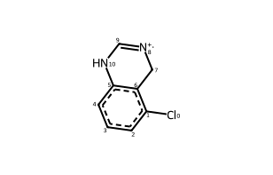 Clc1cccc2c1C[N+]=CN2